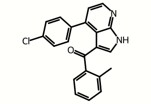 Cc1ccccc1C(=O)c1c[nH]c2nccc(-c3ccc(Cl)cc3)c12